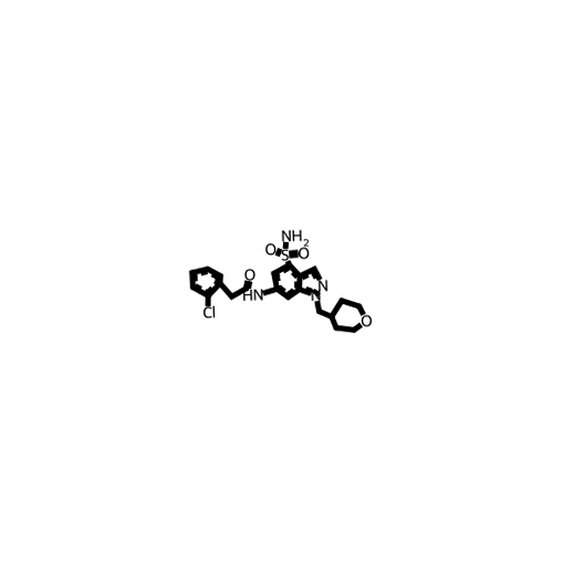 NS(=O)(=O)c1cc(NC(=O)Cc2ccccc2Cl)cc2c1cnn2CC1CCOCC1